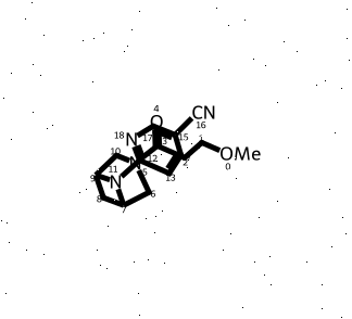 COCCC(=O)N1CC2CC(C1)N2c1ccc(C#N)cn1